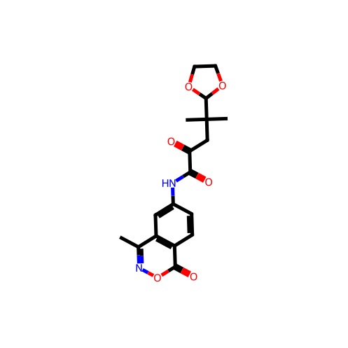 Cc1noc(=O)c2ccc(NC(=O)C(=O)CC(C)(C)C3OCCO3)cc12